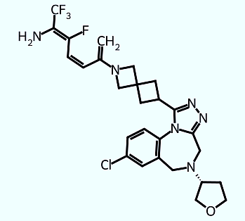 C=C(/C=C\C(F)=C(/N)C(F)(F)F)N1CC2(CC(c3nnc4n3-c3ccc(Cl)cc3CN([C@@H]3CCOC3)C4)C2)C1